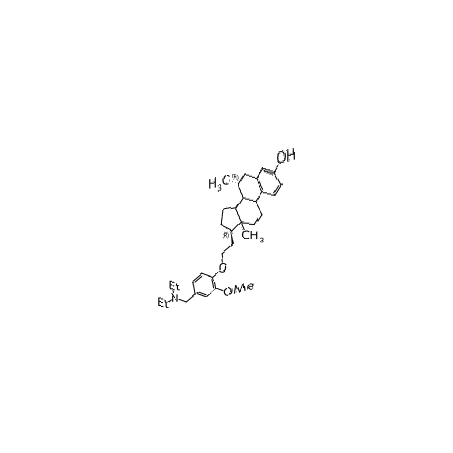 CCN(CC)Cc1ccc(OCC[C@H]2CCC3C4C(CCC32C)c2ccc(O)cc2C[C@H]4C)c(OC)c1